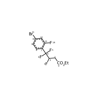 CCOC(=O)CC(F)C(F)(F)c1ccc(Br)cc1F